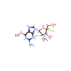 CCOc1nc(N)nc2c1ncn2[C@@H]1O[C@](F)(CO)[C@@H](O)[C@@]1(C)F